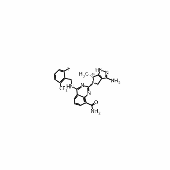 C[C@@H]1c2[nH]nc(N)c2CN1c1nc(NCc2c(F)cccc2C(F)(F)F)c2cccc(C(N)=O)c2n1